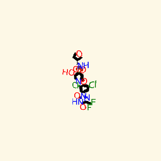 O=c1[nH]c(=O)n(-c2cc(Cl)c(Oc3cc(S(=O)(=O)NC[C@@H]4CCOC4)c(O)cn3)c(Cl)c2)nc1C(F)F